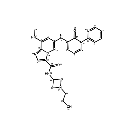 CNc1cc(Nc2cccn(-c3ccccn3)c2=O)nn2c(C(=O)NC3CN(CCO)C3)cnc12